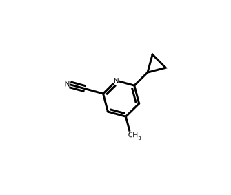 Cc1cc(C#N)nc(C2CC2)c1